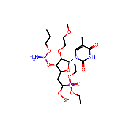 CCCOP(N)O[C@@H]1C(CC(OS)P(=O)(OCC)OCC)O[C@@H](n2cc(C)c(=O)[nH]c2=O)[C@@H]1OCCOC